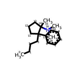 CCCCC1(c2ccccc2)CCCC1(C)N(C)C